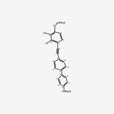 CCCCCOc1ccc(C#Cc2ccc(-c3ccc(CCCCC)cc3)cc2)c(F)c1F